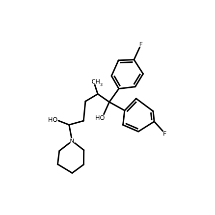 CC(CCC(O)N1CCCCC1)C(O)(c1ccc(F)cc1)c1ccc(F)cc1